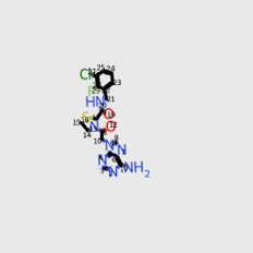 Nc1ncnc2c1ncn2CC(=O)N1CCSC1C(=O)NCc1cccc(Cl)c1F